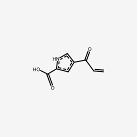 C=CC(=O)c1c[nH]c(C(=O)O)c1